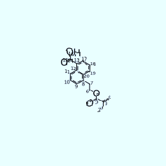 C=C(C)C(=O)OCCc1cccc2c(C(=O)O)cccc12